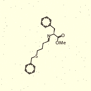 COC(=O)[C@H](Cc1ccccc1)N=CCCCSCc1ccccc1